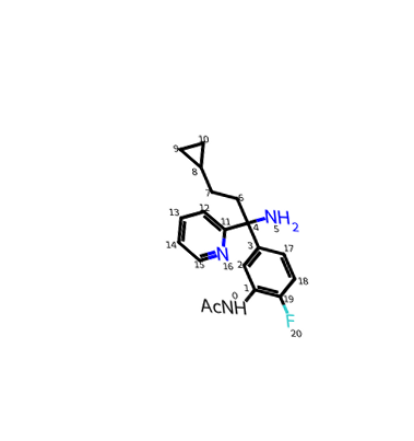 CC(=O)Nc1cc(C(N)(CCC2CC2)c2ccccn2)ccc1F